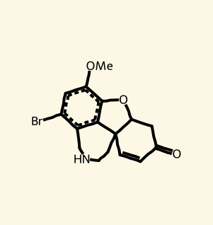 COc1cc(Br)c2c3c1OC1CC(=O)C=CC31CCNC2